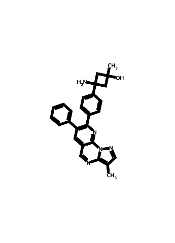 Cc1cnn2c1ncc1cc(-c3ccccc3)c(-c3ccc(C4(N)CC(C)(O)C4)cc3)nc12